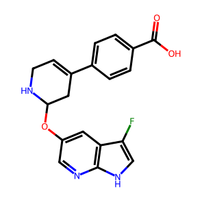 O=C(O)c1ccc(C2=CCNC(Oc3cnc4[nH]cc(F)c4c3)C2)cc1